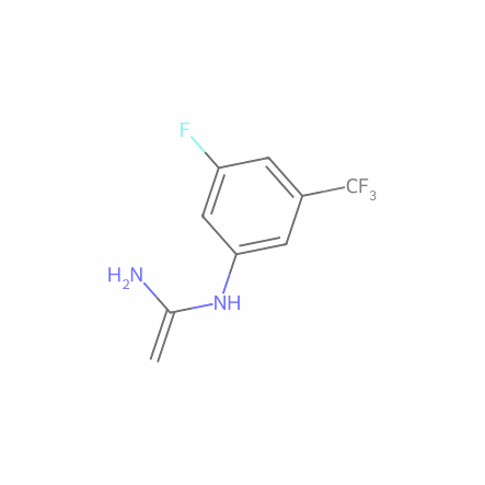 C=C(N)Nc1cc(F)cc(C(F)(F)F)c1